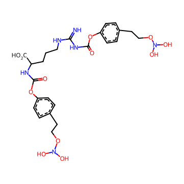 N=C(NCCCC(NC(=O)Oc1ccc(CCON(O)O)cc1)C(=O)O)NC(=O)Oc1ccc(CCON(O)O)cc1